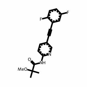 COC(C)(C)C(=O)Nc1ccc(C#Cc2cc(F)ccc2F)cn1